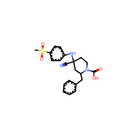 CS(=O)(=O)c1ccc(NC2(C#N)CCN(C(=O)O)C(Cc3ccccc3)C2)cc1